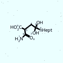 CCCCCCCC(O)(O)CC(C(N)=O)C(=O)O